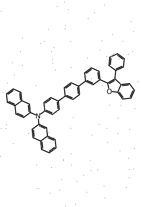 c1ccc(-c2c(-c3cccc(-c4ccc(-c5ccc(N(c6ccc7ccccc7c6)c6ccc7ccccc7c6)cc5)cc4)c3)oc3ccccc23)cc1